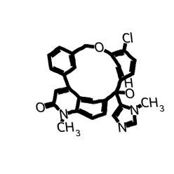 Cn1cncc1C1(O)c2ccc(Cl)c(c2)OCc2cccc(c2)-c2cc(=O)n(C)c3ccc1cc23